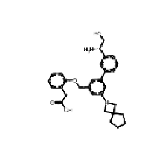 N[C@H](CO)c1cccc(-c2cc(COc3ccccc3CC(=O)O)cc(N3CC4(CCCC4)C3)c2)c1